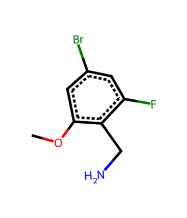 COc1cc(Br)cc(F)c1CN